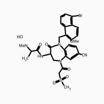 CNC(C)C(=O)NC1CN(C(=O)CS(C)(=O)=O)c2cc(C#N)ccc2N(Cc2c(OC)ccc3c(Br)cccc23)C1=O.Cl